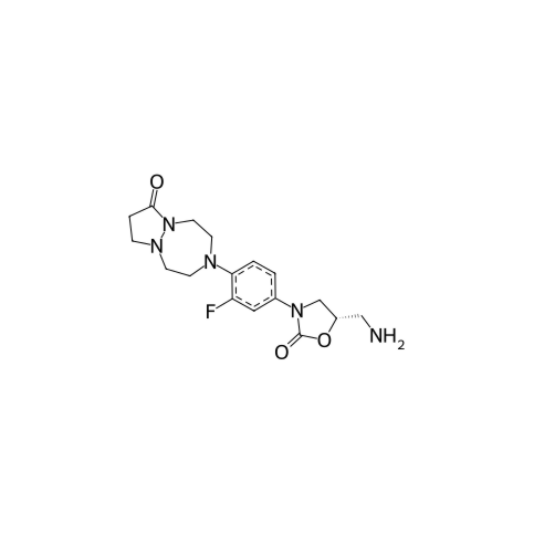 NC[C@H]1CN(c2ccc(N3CCN4CCC(=O)N4CC3)c(F)c2)C(=O)O1